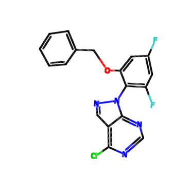 Fc1cc(F)c(-n2ncc3c(Cl)ncnc32)c(OCc2ccccc2)c1